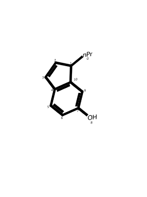 CCCC1C=Cc2ccc(O)cc21